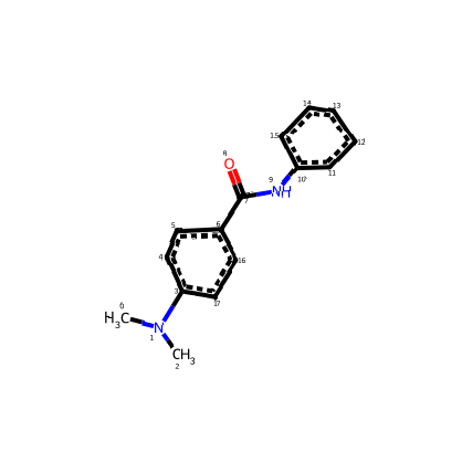 CN(C)c1ccc(C(=O)Nc2c[c]ccc2)cc1